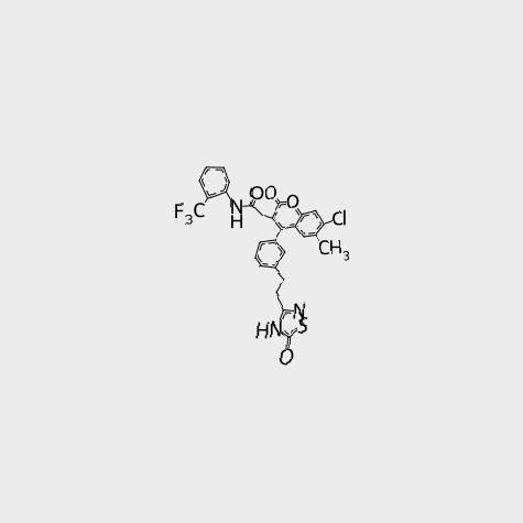 Cc1cc2c(-c3cccc(CCc4nsc(=O)[nH]4)c3)c(CC(=O)Nc3ccccc3C(F)(F)F)c(=O)oc2cc1Cl